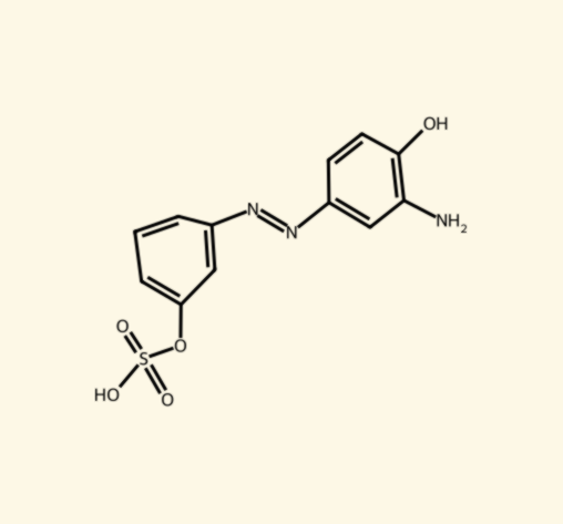 Nc1cc(N=Nc2cccc(OS(=O)(=O)O)c2)ccc1O